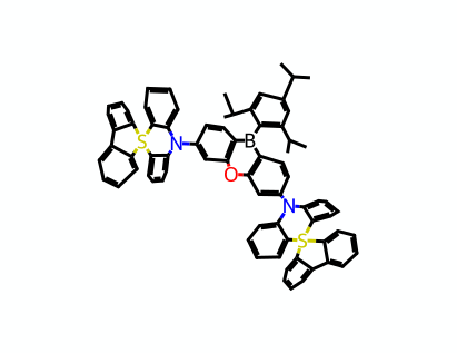 CC(C)c1cc(C(C)C)c(B2c3ccc(N4c5ccccc5S5(c6ccccc6-c6ccccc65)c5ccccc54)cc3Oc3cc(N4c5ccccc5S5(c6ccccc6-c6ccccc65)c5ccccc54)ccc32)c(C(C)C)c1